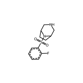 O=S(=O)(c1ccccc1F)N1C2CCC1CNC2